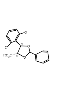 CCOC(=O)[C@H]1OC(c2ccccc2)O[C@@H]1c1c(Cl)cccc1Cl